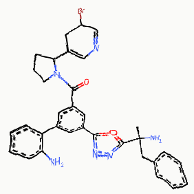 C[C@@](N)(Cc1ccccc1)c1nnc(-c2cc(C(=O)N3CCCC3C3=CN=CC(Br)C3)cc(-c3ccccc3N)c2)o1